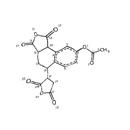 CC(=O)Oc1ccc2c(c1)C1C(=O)OC(=O)C1CC2C1CC(=O)OC1=O